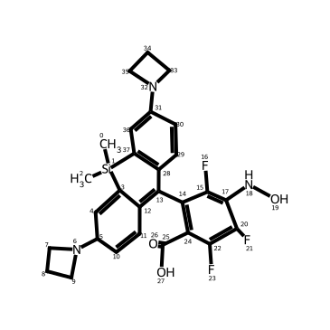 C[Si]1(C)C2=CC(N3CCC3)C=CC2=C(c2c(F)c(NO)c(F)c(F)c2C(=O)O)c2ccc(N3CCC3)cc21